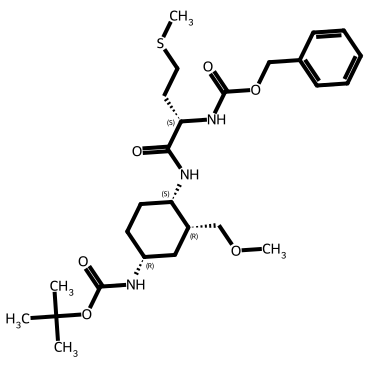 COC[C@@H]1C[C@H](NC(=O)OC(C)(C)C)CC[C@@H]1NC(=O)[C@H](CCSC)NC(=O)OCc1ccccc1